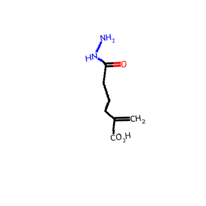 C=C(CCCC(=O)NN)C(=O)O